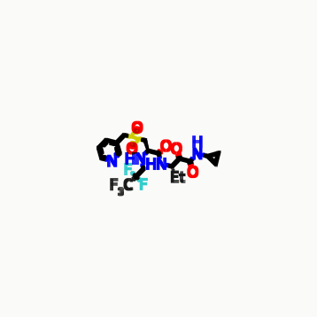 CC[C@H](NC(=O)[C@H](CS(=O)(=O)Cc1cccnc1)NCC(F)(F)C(F)(F)F)C(=O)C(=O)NC1CC1